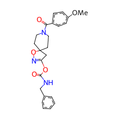 COc1ccc(C(=O)N2CCC3(CC2)CC(OC(=O)NCc2ccccc2)=NO3)cc1